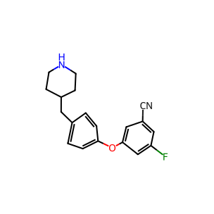 N#Cc1cc(F)cc(Oc2ccc(CC3CCNCC3)cc2)c1